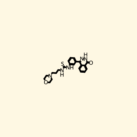 O=c1[nH]nc(-c2cccc(NC(=S)NCCCN3CCOCC3)c2)c2ccccc12